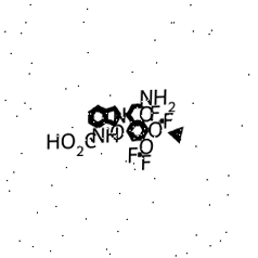 C1CC1.NC(=O)CC(c1ccc(OC(F)F)c(OC(F)F)c1)N1Cc2cccc(NC(=O)O)c2C1=O